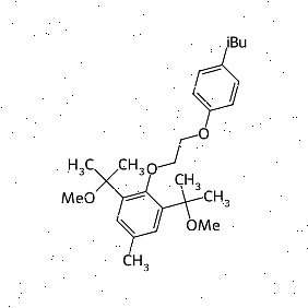 CCC(C)c1ccc(OCCOc2c(C(C)(C)OC)cc(C)cc2C(C)(C)OC)cc1